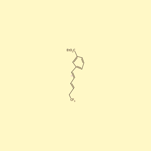 CCOC(=O)c1cccc(/C=C/C=CCC(F)(F)F)c1